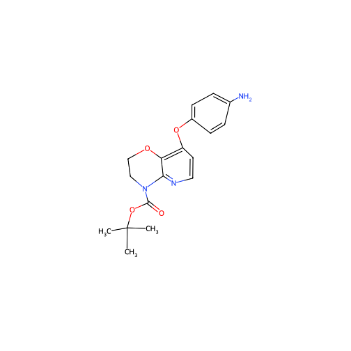 CC(C)(C)OC(=O)N1CCOc2c(Oc3ccc(N)cc3)ccnc21